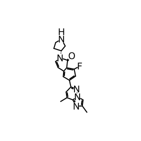 Cc1cn2nc(-c3cc(F)c4c(=O)n([C@@H]5CCNC5)ccc4c3)cc(C)c2n1